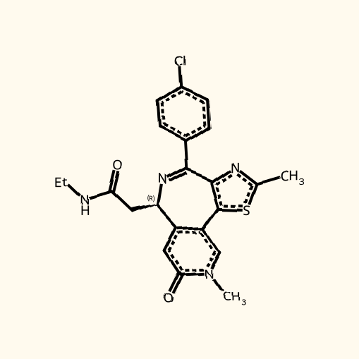 CCNC(=O)C[C@H]1N=C(c2ccc(Cl)cc2)c2nc(C)sc2-c2cn(C)c(=O)cc21